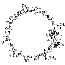 CC(C)C[C@@H]1NC(=O)CNC(=O)Cc2cccc(c2)NC(=O)c2cc(cn2C)NC(=O)c2cc(cn2C)NC(=O)Nc2cc(n(C)c2)C(=O)Nc2cc(n(C)c2)C(=O)Nc2cccc(c2)CC(=O)NCC(=O)N[C@@H](CC(C)C)B2O[C@@H]3C[C@H]4C(C)(C)[C@@H](C45[C@H]4C[C@H]6OB1O[C@@]6(C)[C@H]5C4(C)C)[C@]3(C)O2